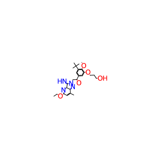 CCOC1=NC2C(=N)N(CC(=O)c3cc(OCCCO)c(OC)c(C(C)(C)C)c3)N=C2C(C)=C1